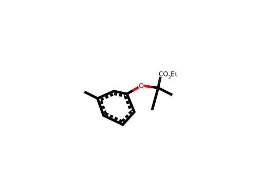 CCOC(=O)C(C)(C)Oc1cccc(C)c1